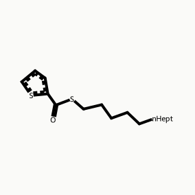 CCCCCCCCCCCCSC(=O)c1cccs1